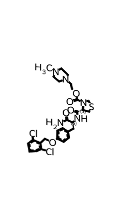 CN1CCN(CCOC(=O)N2CSC[C@@H]2C(=O)N[C@@H](Cc2ccc(OCc3c(Cl)cccc3Cl)cc2)C(N)=O)CC1